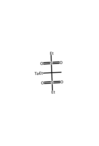 CCC(C)(S(=O)(=O)CC)S(=O)(=O)CC.[Ta]